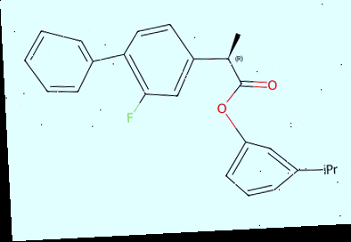 CC(C)c1cccc(OC(=O)[C@H](C)c2ccc(-c3ccccc3)c(F)c2)c1